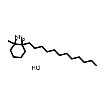 CCCCCCCCCCCCC1(C)CCCCC1(C)N.Cl